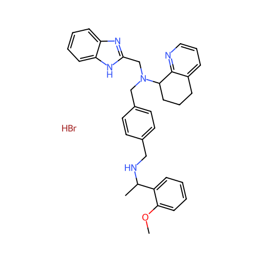 Br.COc1ccccc1C(C)NCc1ccc(CN(Cc2nc3ccccc3[nH]2)C2CCCc3cccnc32)cc1